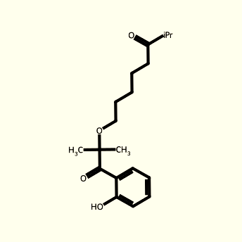 CC(C)C(=O)CCCCCOC(C)(C)C(=O)c1ccccc1O